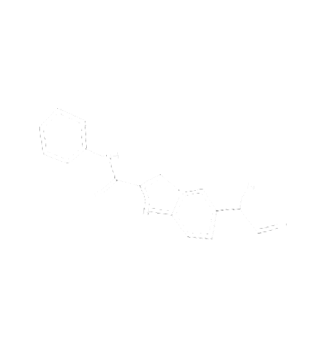 O=CC(Br)c1ccc2nc(C(=O)Nc3ccccc3)cn2c1